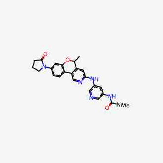 CNC(=O)Nc1cncc(Nc2cc3c(cn2)-c2ccc(N4CCCC4=O)cc2OC3C)c1